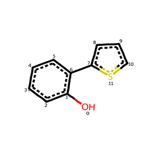 Oc1c[c]ccc1-c1cccs1